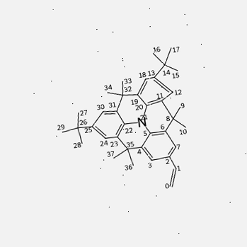 C=Cc1cc2c3c(c1)C(C)(C)c1cc(C(C)(C)C)cc4c1N3c1c(cc(C(C)(C)C)cc1C4(C)C)C2(C)C